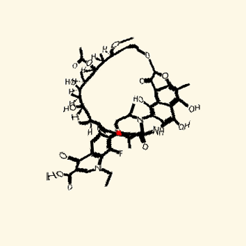 CCn1cc(C(=O)O)c(=O)c2cc(F)c(N3CCN(c4c5c(O)c6c(O)c(C)c7c(c6c4O)C(=O)[C@@](C)(O/C=C/[C@H](OC)[C@@H](C)[C@@H](OC(C)=O)[C@H](C)[C@H](O)[C@H](C)[C@@H](O)[C@@H](C)/C=C/C=C(/C)C(=O)N5)O7)C(C)C3)c(F)c21